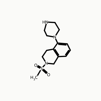 CS(=O)(=O)N1CCc2c(cccc2N2CCNCC2)C1